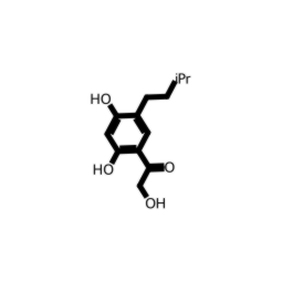 CC(C)CCc1cc(C(=O)CO)c(O)cc1O